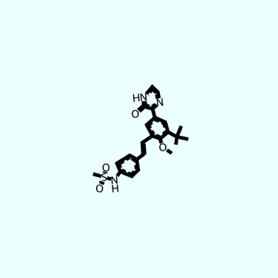 COc1c(/C=C/c2ccc(NS(C)(=O)=O)cc2)cc(-c2ncc[nH]c2=O)cc1C(C)(C)C